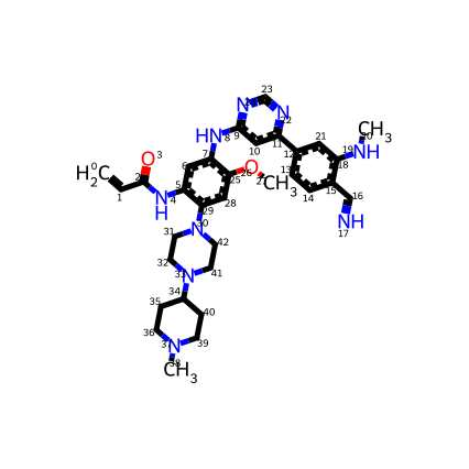 C=CC(=O)Nc1cc(Nc2cc(-c3ccc(C=N)c(NC)c3)ncn2)c(OC)cc1N1CCN(C2CCN(C)CC2)CC1